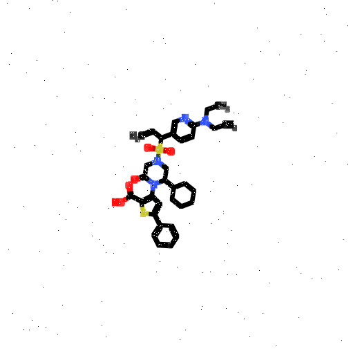 C=CC(c1ccc(N(CC)CC)nc1)S(=O)(=O)N1CC(=O)N(c2cc(-c3ccccc3)sc2C(=O)O)C(C2CCCCC2)C1